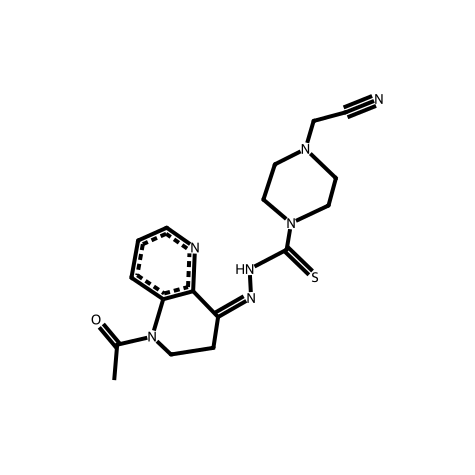 CC(=O)N1CC/C(=N/NC(=S)N2CCN(CC#N)CC2)c2ncccc21